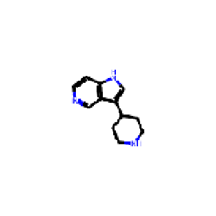 c1cc2[nH]cc(C3CCNCC3)c2cn1